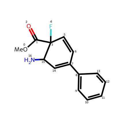 COC(=O)C1(F)C=CC(c2ccccc2)=CC1N